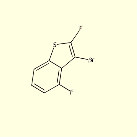 Fc1sc2cccc(F)c2c1Br